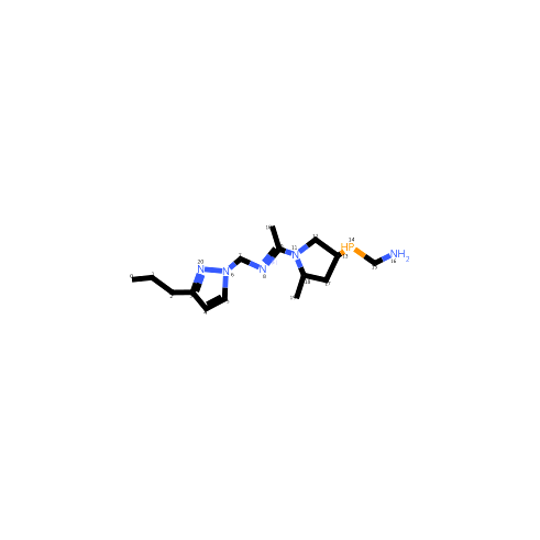 CCCc1ccn(C/N=C(\C)N2CC(PCN)CC2C)n1